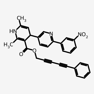 CC1=CC(c2ccc(-c3cccc([N+](=O)[O-])c3)nc2)C(C(=O)OCC#CC#Cc2ccccc2)=C(C)N1